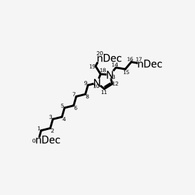 CCCCCCCCCCCCCCCCCCCN1C=CN(CCCCCCCCCCCCC)C1CCCCCCCCCCC